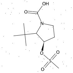 CC(C)(C)C1[C@H](OS(C)(=O)=O)CCN1C(=O)O